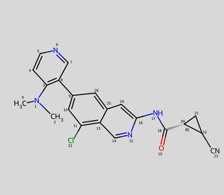 CN(C)c1ccncc1-c1cc(Cl)c2cnc(NC(=O)[C@@H]3CC3C#N)cc2c1